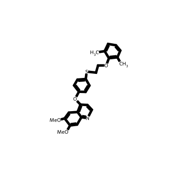 COc1cc2nccc(Oc3ccc(SCCOc4c(C)cccc4C)cc3)c2cc1OC